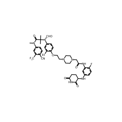 CCc1cc(N(C=O)C(C)(C)C(=O)N(C)c2ccc(C#N)c(C(F)(F)F)c2)ccc1OCCN1CCN(CC(=O)Nc2cc(NC3CCC(=O)NC3=O)ccc2F)CC1